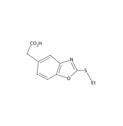 CCSc1nc2cc(CC(=O)O)ccc2o1